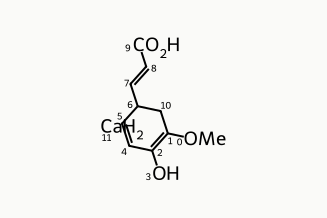 COC1=C(O)C=CC(C=CC(=O)O)C1.[CaH2]